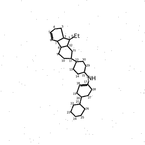 CCC1C2CCC=CC2C2CCC(C3CCC(NC4=CCC(C5CCCCC5)CC4)CC3)CC21